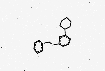 c1ccc(COc2cccc(C3CCCCC3)c2)cc1